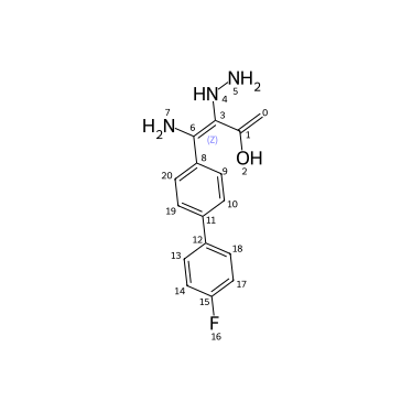 C=C(O)/C(NN)=C(/N)c1ccc(-c2ccc(F)cc2)cc1